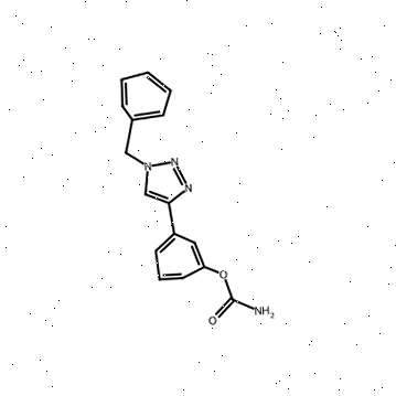 NC(=O)Oc1cccc(-c2cn(Cc3ccccc3)nn2)c1